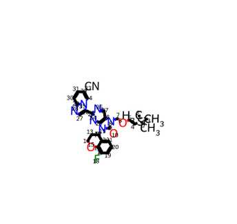 C[Si](C)(C)CCOCn1c(=O)n([C@@H]2CCOc3c(F)cccc32)c2nc(-c3cnc4ccc(C#N)cn34)ncc21